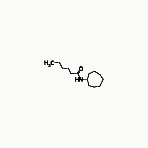 CCCCCC(=O)NC1CCCCCCC1